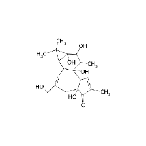 CC1=CC2C(O)(CC(CO)=CC3C4C(C)(C)C4(O)C(O)C(C)C32O)C1=O